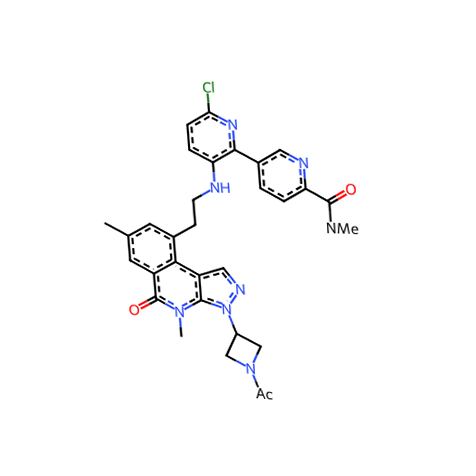 CNC(=O)c1ccc(-c2nc(Cl)ccc2NCCc2cc(C)cc3c(=O)n(C)c4c(cnn4C4CN(C(C)=O)C4)c23)cn1